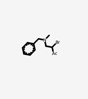 CC(=O)C(Br)CN(C)Cc1ccccc1